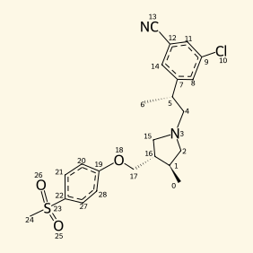 C[C@@H]1CN(C[C@H](C)c2cc(Cl)cc(C#N)c2)C[C@H]1COc1ccc(S(C)(=O)=O)cc1